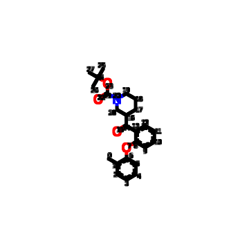 Cc1ccccc1Oc1ccccc1C(=O)C1CCCN(C(=O)OC(C)(C)C)C1